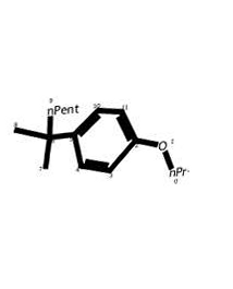 CC[CH]Oc1ccc(C(C)(C)CCCCC)cc1